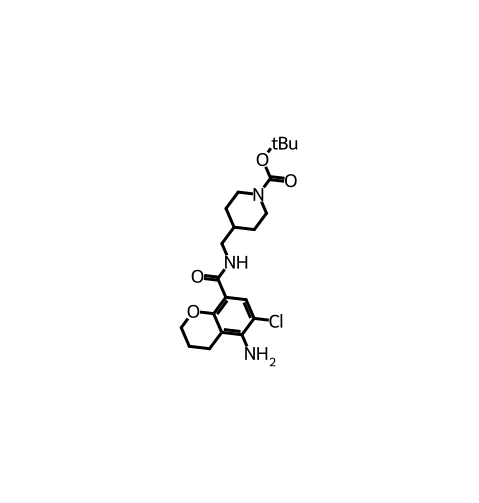 CC(C)(C)OC(=O)N1CCC(CNC(=O)c2cc(Cl)c(N)c3c2OCCC3)CC1